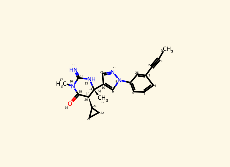 CC#Cc1cccc(-n2cc([C@@]3(C)NC(=N)N(C)C(=O)[C@@H]3C3CC3)cn2)c1